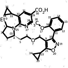 CCC1CC[C@@H](CCOCc2c(-c3ccccc3OC(F)(F)F)noc2C2CC2)N1c1ncc(C(=O)O)cc1C1CC1